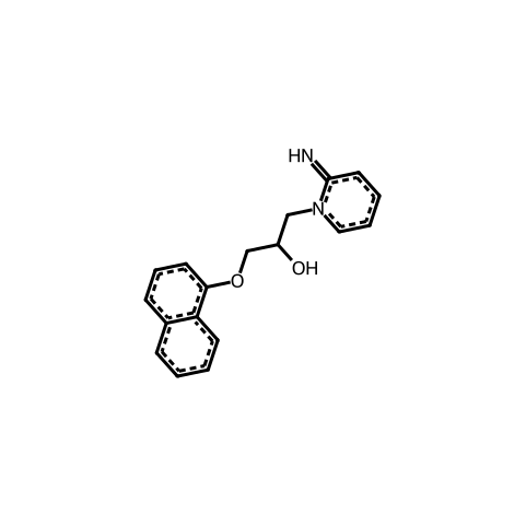 N=c1ccccn1CC(O)COc1cccc2ccccc12